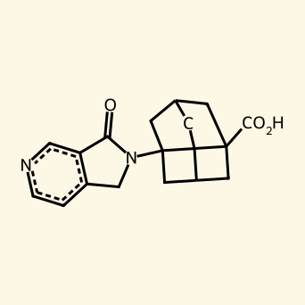 O=C1c2cnccc2CN1C12CC3CC4(C(=O)O)CC(C1)C42C3